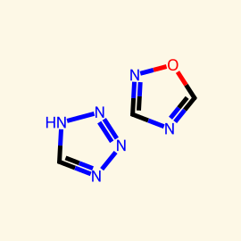 c1ncon1.c1nnn[nH]1